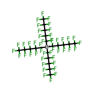 FC(F)(F)C(F)(F)C(F)(F)C(F)(F)C(F)(F)[B-](C(F)(F)C(F)(F)C(F)(F)C(F)(F)C(F)(F)F)(C(F)(F)C(F)(F)C(F)(F)C(F)(F)C(F)(F)F)C(F)(F)C(F)(F)C(F)(F)C(F)(F)C(F)(F)F